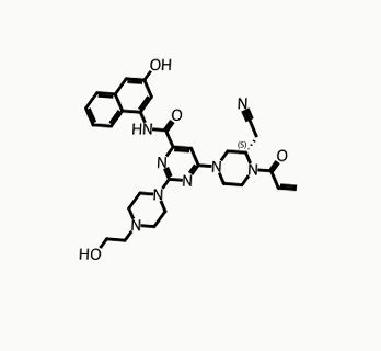 C=CC(=O)N1CCN(c2cc(C(=O)Nc3cc(O)cc4ccccc34)nc(N3CCN(CCO)CC3)n2)C[C@@H]1CC#N